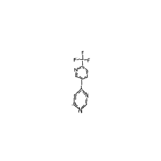 FC(F)(F)c1ccc(-c2c[c]ncn2)cn1